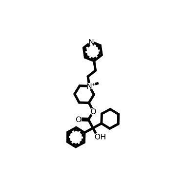 C[N+]1(CCc2ccncc2)CCCC(OC(=O)C(O)(c2ccccc2)C2CCCCC2)C1